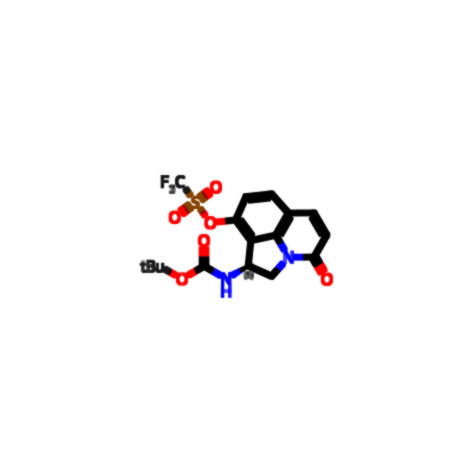 CC(C)(C)OC(=O)N[C@@H]1Cn2c(=O)ccc3ccc(OS(=O)(=O)C(F)(F)F)c1c32